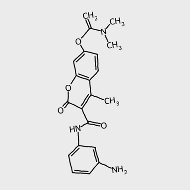 C=C(Oc1ccc2c(C)c(C(=O)Nc3cccc(N)c3)c(=O)oc2c1)N(C)C